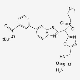 CC(C)(C)OC(=O)c1cccc(-c2ccc3nc(C(c4nnc(CNS(N)(=O)=O)o4)S(=O)(=O)CCC(F)(F)F)sc3c2)c1